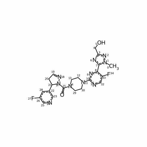 Cn1nc(CO)nc1-c1nc(N2CCN(C(=O)N3N=CCC3c3cncc(F)c3)CC2)ncc1F